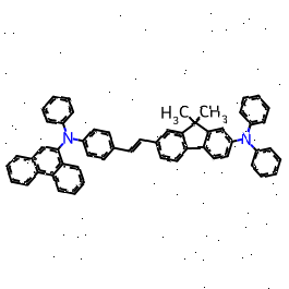 CC1(C)c2cc(/C=C/c3ccc(N(c4ccccc4)c4cc5ccccc5c5ccccc45)cc3)ccc2-c2ccc(N(c3ccccc3)c3ccccc3)cc21